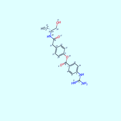 N=C(N)Nc1ccc(C(=O)Oc2ccc(CC(=O)N[C@@H](CO)C(=O)O)cc2)cc1